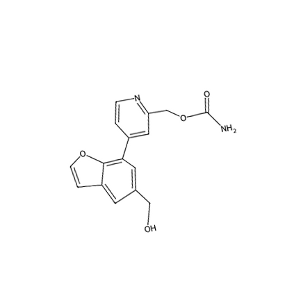 NC(=O)OCc1cc(-c2cc(CO)cc3ccoc23)ccn1